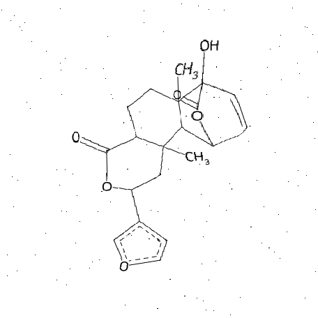 CC12CC(c3ccoc3)OC(=O)C1CCC1(C)C2C2C=CC1(O)C(=O)O2